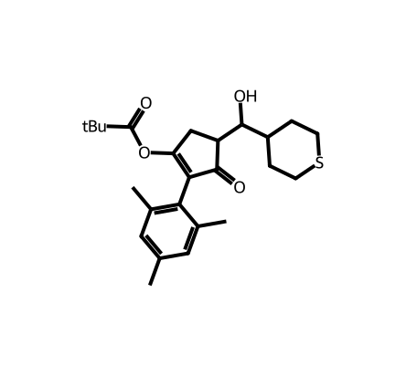 Cc1cc(C)c(C2=C(OC(=O)C(C)(C)C)CC(C(O)C3CCSCC3)C2=O)c(C)c1